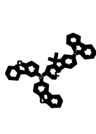 CC1(C)c2cc(N(c3ccc4oc5c(c4c3)CCC=C5)c3ccc4oc5ccccc5c4c3)ccc2-c2ccc(-n3c4ccccc4c4ccccc43)cc21